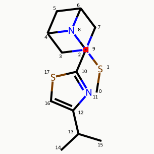 CSN1CC2CC(C1)N2Cc1nc(C(C)C)cs1